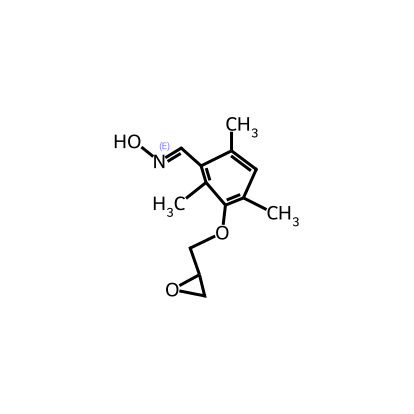 Cc1cc(C)c(OCC2CO2)c(C)c1/C=N/O